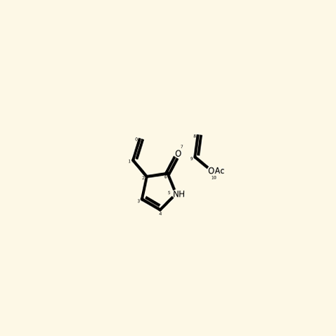 C=CC1C=CNC1=O.C=COC(C)=O